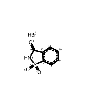 Br.O=C1NS(=O)(=O)c2ccccc21